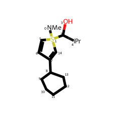 CNS1(C(O)C(C)C)C=CC(C2CCCCC2)=C1